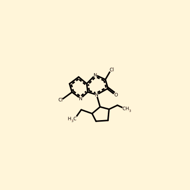 CCC1CCC(CC)C1n1c(=O)c(Cl)nc2ccc(Cl)nc21